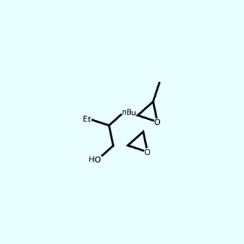 C1CO1.CC1CO1.CCCCC(CC)CO